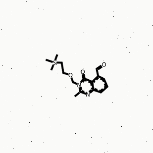 Cc1nc2cccc(C=O)c2c(=O)n1COCC[Si](C)(C)C